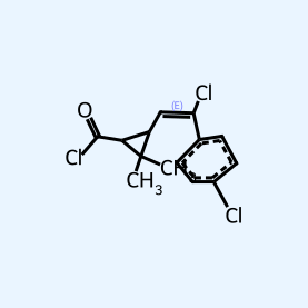 CC1(C)C(/C=C(/Cl)c2ccc(Cl)cc2)C1C(=O)Cl